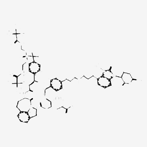 C/C(=C\C(=O)N[C@H]1CCc2cccc3c2N(C1=O)[C@H](C(=O)N[C@@H](CCC(N)=O)[C@@H](C)OCc1ccc(CCCOCCCc2cccc4c2n(C)c(=O)n4C2CCC(=O)NC2=O)cc1)C3)c1ccc(C(F)(F)P(=O)(OCOC(=O)C(C)(C)C)OCOC(=O)C(C)(C)C)cc1